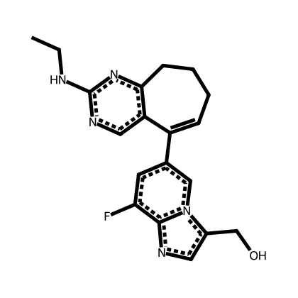 CCNc1ncc2c(n1)CCCC=C2c1cc(F)c2ncc(CO)n2c1